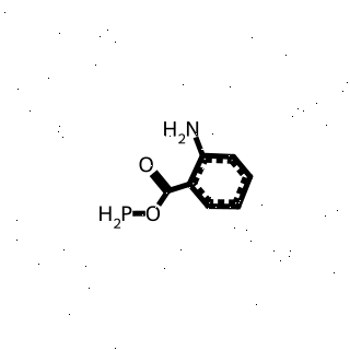 Nc1ccccc1C(=O)OP